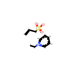 C=CCS(=O)(=O)[O-].CC[n+]1ccccc1